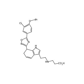 CC(C)Oc1ccc(-c2nc(C3CC=Cc4c(CCNCCC(=O)O)c[nH]c43)no2)cc1Cl